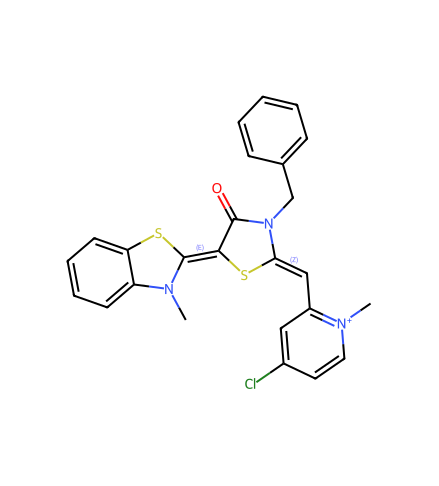 CN1/C(=c2\s/c(=C\c3cc(Cl)cc[n+]3C)n(Cc3ccccc3)c2=O)Sc2ccccc21